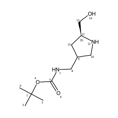 CC(C)(C)OC(=O)NCC1CN[C@H](CO)C1